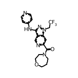 O=C(c1cc2c(cn1)c(Nc1ccncc1)nn2CC(F)(F)F)N1CCCOCC1